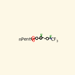 CCCCCC1COC(C2CCC(c3ccc(CCC4CCC(/C(F)=C/C(F)(F)F)CC4)c(F)c3)CC2)OC1